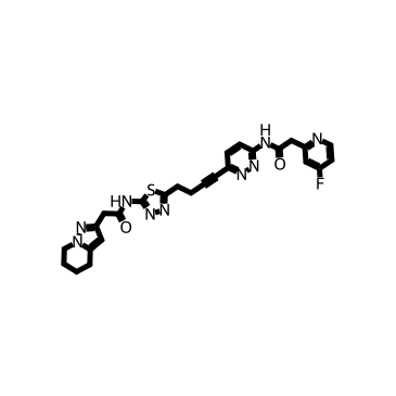 O=C(Cc1cc(F)ccn1)Nc1ccc(C#CCCc2nnc(NC(=O)Cc3cc4n(n3)CCCC4)s2)nn1